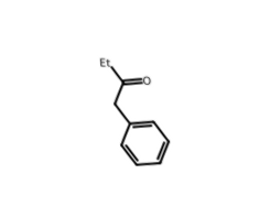 [CH2]CC(=O)Cc1ccccc1